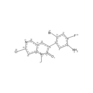 Cn1c(=O)c(-c2cc(N)c(F)cc2Br)cc2cnc(Cl)cc21